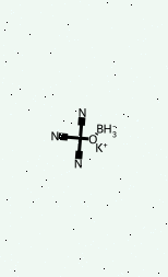 [BH3-]OC(C#N)(C#N)C#N.[K+]